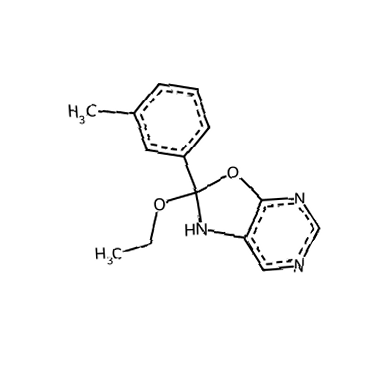 CCOC1(c2cccc(C)c2)Nc2cncnc2O1